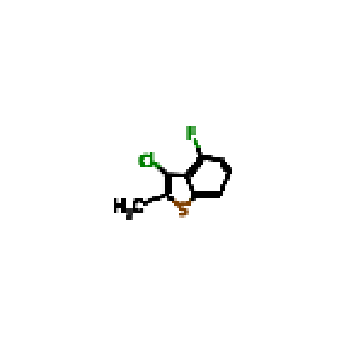 Cc1sc2cccc(F)c2c1Cl